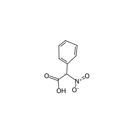 O=C(O)[C](c1ccccc1)[N+](=O)[O-]